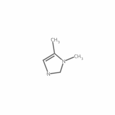 CC1=C[N]CN1C